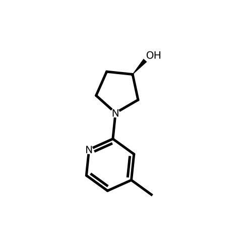 Cc1ccnc(N2CC[C@@H](O)C2)c1